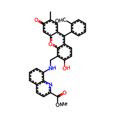 COC(=O)c1ccc2cccc(NCc3c(O)ccc4c(-c5ccccc5C=O)c5cc(C)c(=O)cc-5oc34)c2n1